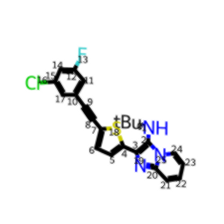 CC(C)(C)Nc1c(-c2ccc(C#Cc3cc(F)cc(Cl)c3)s2)nc2ccccn12